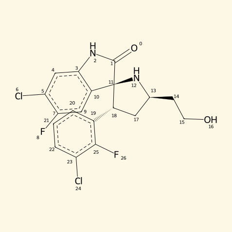 O=C1Nc2cc(Cl)c(F)cc2[C@]12N[C@@H](CCO)C[C@@H]2c1cccc(Cl)c1F